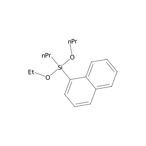 CCCO[Si](CCC)(OCC)c1cccc2ccccc12